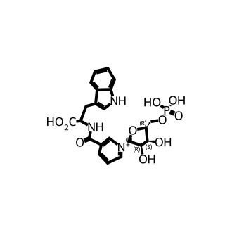 O=C(NC(Cc1c[nH]c2ccccc12)C(=O)O)c1ccc[n+]([C@@H]2O[C@H](COP(=O)(O)O)[C@@H](O)[C@H]2O)c1